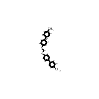 Cc1ccc(-c2ccc(SCSc3ccc(-c4ccc(C)cc4)cc3)cc2)cc1